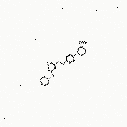 COc1cccc(-c2ccc(OCc3cccc(Oc4ccccc4)c3)nc2)c1